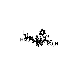 CCN1C(=O)N([C@](C(C)=O)(C(=O)O)N(C(=O)[C@@H](N)CC(=O)O)c2ccccc2)C(=O)[C@@H]1CCCNC(=N)N